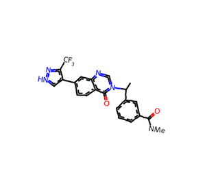 CNC(=O)c1cccc(C(C)n2cnc3cc(-c4c[nH]nc4C(F)(F)F)ccc3c2=O)c1